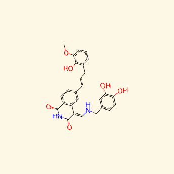 COc1cccc(C/C=C/c2ccc3c(c2)/C(=C\NCc2ccc(O)c(O)c2)C(=O)NC3=O)c1O